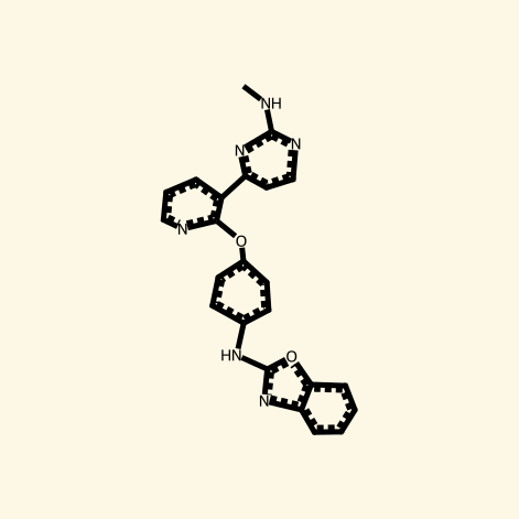 CNc1nccc(-c2cccnc2Oc2ccc(Nc3nc4ccccc4o3)cc2)n1